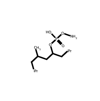 CC(C)CC(C)CC(CC(C)C)OP(=O)(O)ON